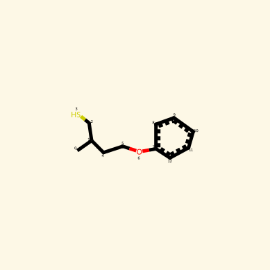 CC(CS)CCOc1cc[c]cc1